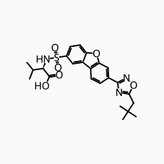 CC(C)[C@@H](NS(=O)(=O)c1ccc2oc3cc(-c4noc(CC(C)(C)C)n4)ccc3c2c1)C(=O)O